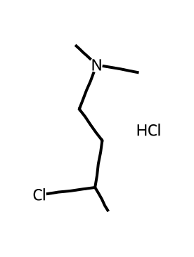 CC(Cl)CCN(C)C.Cl